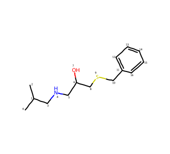 CC(C)CNCC(O)CSCc1ccccc1